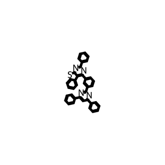 c1ccc(-c2cc(-c3ccccc3)nc(-c3cccc(-c4nc(-c5ccccc5)nc5sc6ccccc6c45)c3)n2)cc1